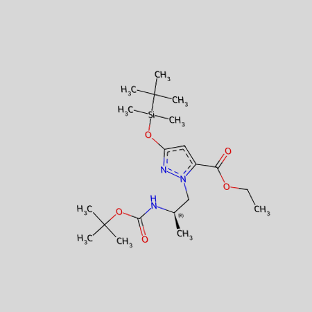 CCOC(=O)c1cc(O[Si](C)(C)C(C)(C)C)nn1C[C@@H](C)NC(=O)OC(C)(C)C